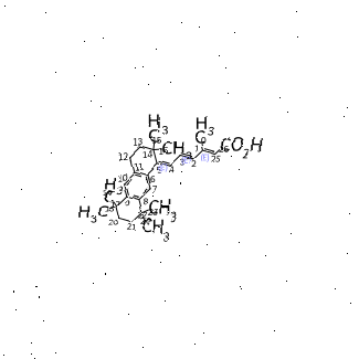 CC(/C=C/C=C1/c2cc3c(cc2CCC1(C)C)C(C)(C)CCC3(C)C)=C\C(=O)O